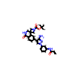 C=CC(=O)Nc1cccc(-n2cc(-c3ccc4c(c3)C3(CNC4=O)CN(C(=O)OC(C)(C)C)C3)c(N)n2)c1